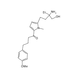 CCC(N)(CO)CCc1ccc(C(=O)CCCc2ccc(OC)cc2)n1C